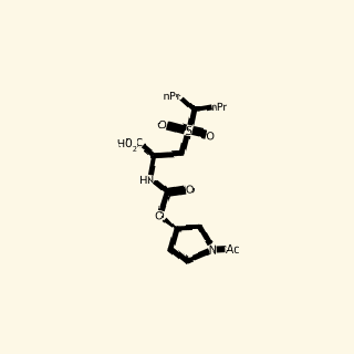 CCCC(CCC)S(=O)(=O)CC(NC(=O)O[C@@H]1CCN(C(C)=O)C1)C(=O)O